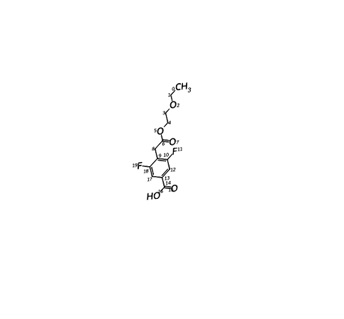 CCOCCOC(=O)Cc1c(F)cc(C(=O)O)cc1F